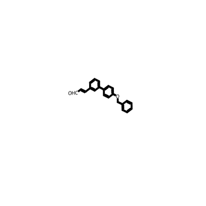 O=CC=Cc1cccc(-c2ccc(OCc3ccccc3)cc2)c1